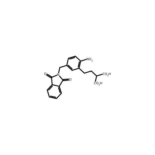 O=C(O)C(CCc1cc(CN2C(=O)c3ccccc3C2=O)ccc1[N+](=O)[O-])C(=O)O